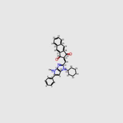 Cn1c(-c2ccccc2)cc2c1nc(C=C1C(=O)c3cc4ccccc4cc3C1=O)n2C1CCCCC1